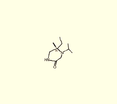 CC(C)N1CC(=O)NC[C@]1(C)CI